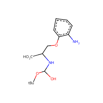 CC(C)(C)OC(O)NC(COc1ccccc1N)C(=O)O